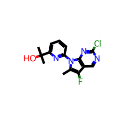 Cc1c(F)c2cnc(Cl)nc2n1-c1cccc(C(C)(C)O)n1